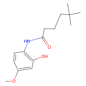 COc1ccc(NC(=O)CCCC(C)(C)C)c(O)c1